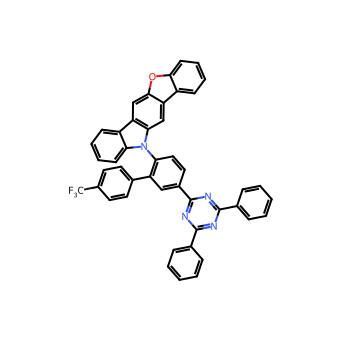 FC(F)(F)c1ccc(-c2cc(-c3nc(-c4ccccc4)nc(-c4ccccc4)n3)ccc2-n2c3ccccc3c3cc4oc5ccccc5c4cc32)cc1